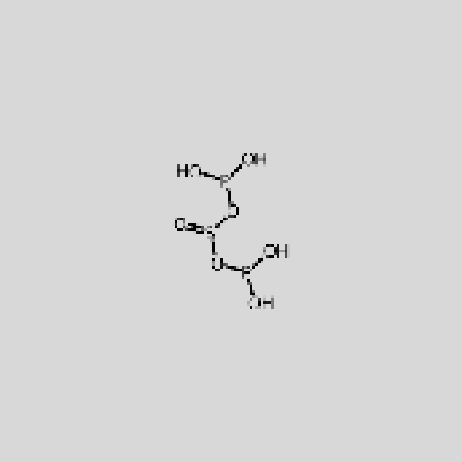 O=S(OP(O)O)OP(O)O